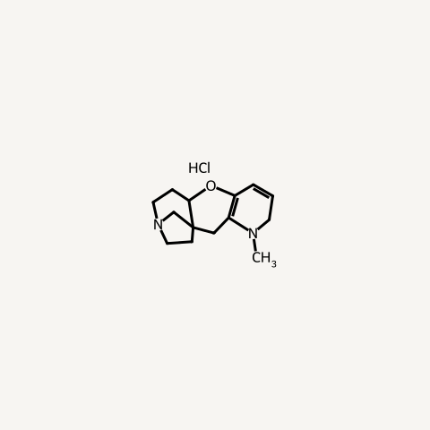 CN1CC=CC2=C1CC13CCN(CCC1O2)C3.Cl